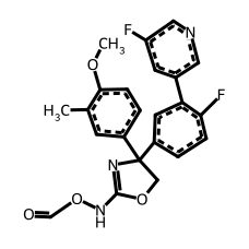 COc1ccc(C2(c3ccc(F)c(-c4cncc(F)c4)c3)COC(NOC=O)=N2)cc1C